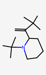 C=C(C1CCCCN1C(C)(C)C)C(C)(C)C